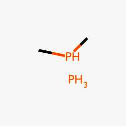 CPC.P